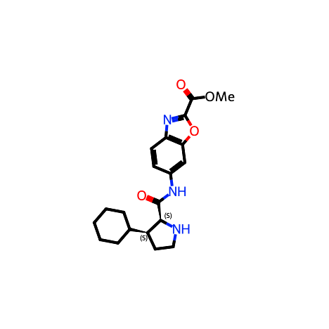 COC(=O)c1nc2ccc(NC(=O)[C@H]3NCC[C@H]3C3CCCCC3)cc2o1